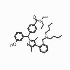 CCCCN(CCCC)Cc1ccccc1-c1c(C)nn(C(c2ccc(C(=O)N(CC)CC)cc2)c2cccc(O)c2)c1C